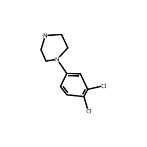 Clc1ccc(N2CC[N]CC2)cc1Cl